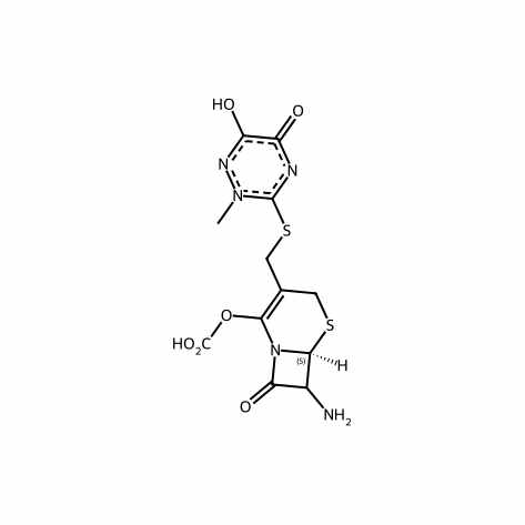 Cn1nc(O)c(=O)nc1SCC1=C(OC(=O)O)N2C(=O)C(N)[C@@H]2SC1